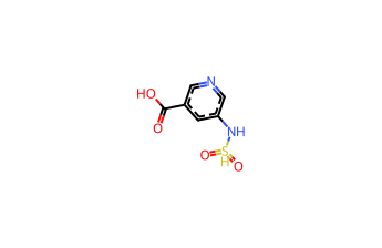 O=C(O)c1cncc(N[SH](=O)=O)c1